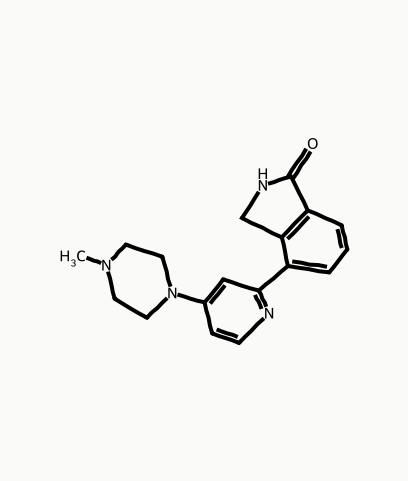 CN1CCN(c2ccnc(-c3cccc4c3CNC4=O)c2)CC1